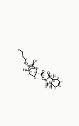 CCCCON1C(=O)N2C[C@@H]1CC[C@H]2C(=O)ON1C(=O)[C@H]2CC=CC[C@H]2C1=O